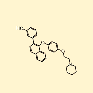 Oc1cccc(-c2ccc3ccccc3c2Oc2ccc(OCCN3CCCCC3)cc2)c1